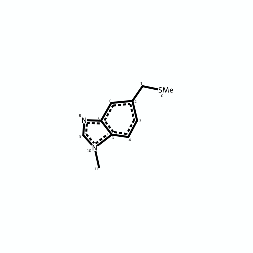 CSCc1ccc2c(c1)ncn2C